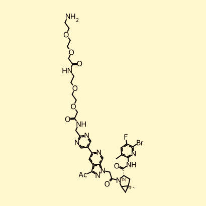 CC(=O)c1nn(CC(=O)N2C3C[C@]3(C)C[C@H]2C(=O)Nc2nc(Br)c(F)cc2C)c2cnc(-c3cnc(CNC(=O)COCCOCCNC(=O)COCCOCCN)nc3)cc12